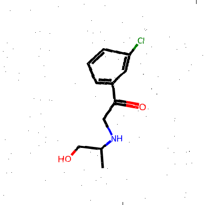 CC(CO)NCC(=O)c1cccc(Cl)c1